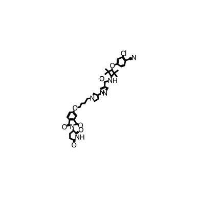 CC1(C)C(NC(=O)c2cnn(C3CCN(CCCCOc4ccc5c(c4)C(=O)N(C4CCC(=O)NC4=O)C5=O)C3)c2)C(C)(C)C1Oc1ccc(C#N)c(Cl)c1